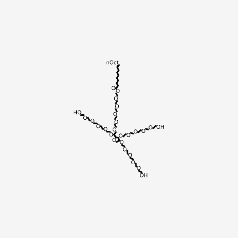 CCCCCCCCC=CCCCCCCCC(=O)OCCOCCOCCOCCOCCOCC(OCCOCCOCCOCCOCCO)C1OCC(OCCOCCOCCOCCOCCO)C1OCCOCCOCCOCCOCCO